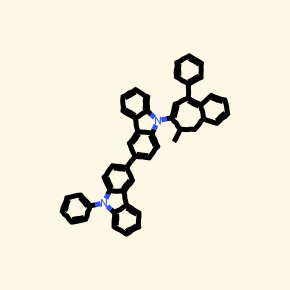 CC1CC2C=CC=CC2=C(c2ccccc2)C=C1n1c2ccccc2c2cc(-c3ccc4c(c3)c3ccccc3n4-c3ccccc3)ccc21